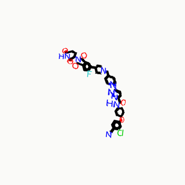 N#Cc1ccc(O[C@H]2CC[C@H](NC(=O)c3ccc(N4CCC(CN5CCC(c6cc7c(cc6F)C(=O)N(C6CCC(=O)NC6=O)C7=O)CC5)CC4)nn3)CC2)cc1Cl